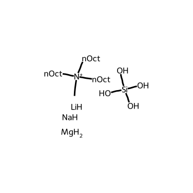 CCCCCCCC[N+](C)(CCCCCCCC)CCCCCCCC.O[Si](O)(O)O.[LiH].[MgH2].[NaH]